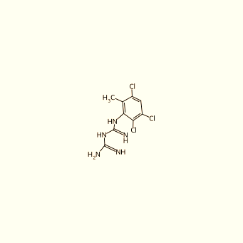 Cc1c(Cl)cc(Cl)c(Cl)c1NC(=N)NC(=N)N